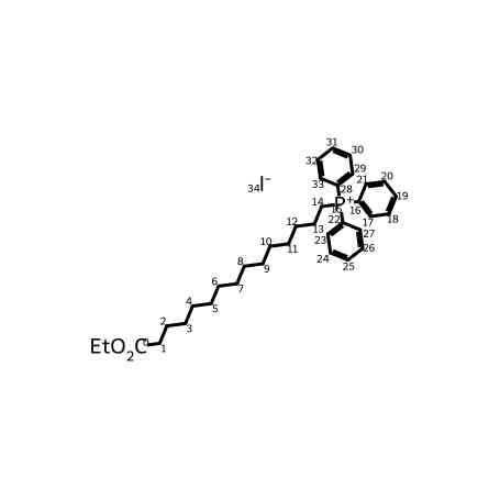 CCOC(=O)CCCCCCCCCCCCCC[P+](c1ccccc1)(c1ccccc1)c1ccccc1.[I-]